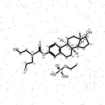 CCOP(=O)(O)O.C[C@]12CC[C@@H]3c4ccc(OC(=O)N(CCCl)CCCl)cc4CC[C@H]3[C@@H]1CC[C@@H]2O